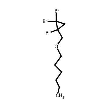 CCCCCCOCC1(Br)CC1(Br)Br